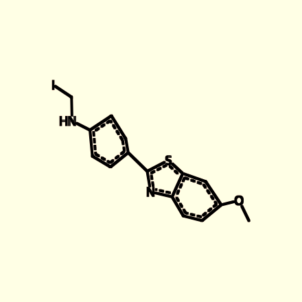 COc1ccc2nc(-c3ccc(NCI)cc3)sc2c1